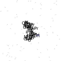 C/C=C\C[C@@H](C)[C@H](O)C(C(=O)N[C@H](CC)C(=O)N(C)CC(=O)N(C)CC(N)=O)N(C)C(=O)[C@@H](C(C)C)N(C)C(=O)[C@@H](CC(C)C)N(C)C(=O)[C@@H](CC(C)C)N(C)C(=O)[C@H](C)NC(=O)[C@@H](C)NC(=O)[C@H](C)N(C)C(=O)[C@H](C)C(C)C